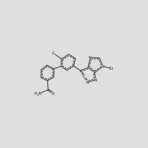 CCn1cnc2c(-c3ccc(F)c(-c4cccc(C(N)=O)c4)c3)cnnc21